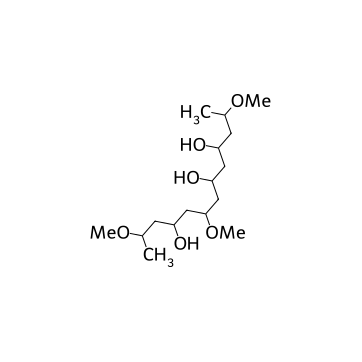 COC(C)CC(O)CC(O)CC(CC(O)CC(C)OC)OC